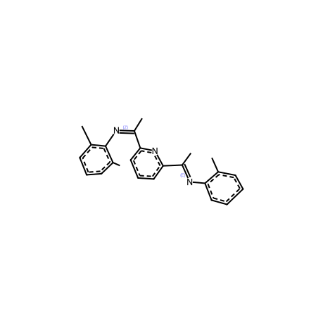 C/C(=N/c1c(C)cccc1C)c1cccc(/C(C)=N/c2ccccc2C)n1